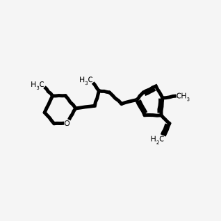 C=Cc1cc(CCC(C)CC2CC(C)CCO2)ccc1C